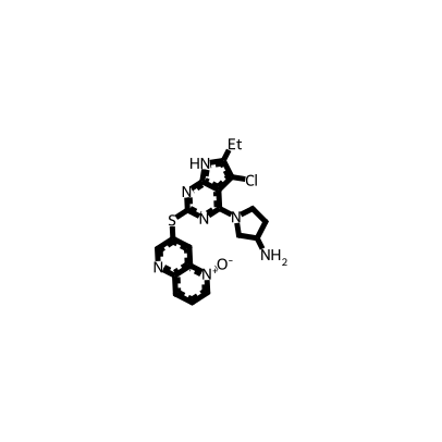 CCc1[nH]c2nc(Sc3cnc4ccc[n+]([O-])c4c3)nc(N3CCC(N)C3)c2c1Cl